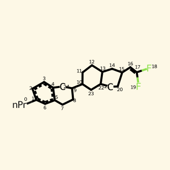 CCCc1ccc2c(c1)CCC(C1CCC3CC(C=C(F)F)CCC3C1)C2